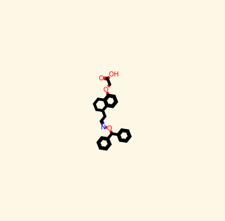 O=C(O)COc1cccc2c1CCCC2C/C=N\OC(c1ccccc1)c1ccccc1